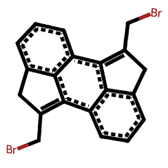 BrCC1=c2c3cccc4c3c(c3cccc(c23)C1)=C(CBr)C4